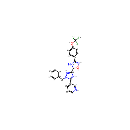 FC(F)(F)Oc1ccc(C2=NOC(c3nc(-c4cccnc4)n(Cc4ccccc4)n3)N2)cc1